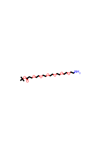 CC(C)(C)OC(=O)CCOCCOCCOCCOCCOCCOCCN